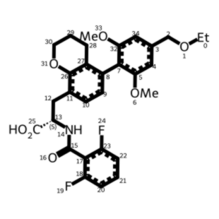 CCOCc1cc(OC)c(-c2ccc(C[C@H](NC(=O)c3c(F)cccc3F)C(=O)O)c3c2CCCO3)c(OC)c1